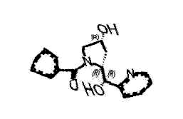 O=C(c1ccccc1)N1C[C@H](O)C[C@@H]1[C@@H](O)c1ccccn1